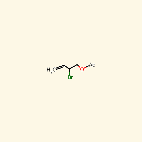 C=CC(Br)COC(C)=O